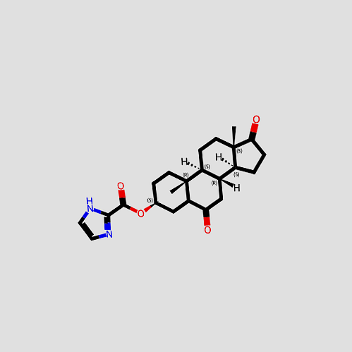 C[C@]12CC[C@H](OC(=O)c3ncc[nH]3)CC1C(=O)C[C@@H]1[C@@H]2CC[C@]2(C)C(=O)CC[C@@H]12